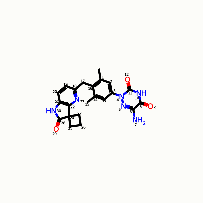 Cc1cc(-n2nc(N)c(=O)[nH]c2=O)cc(C)c1Cc1ccc2c(n1)C1(CCC1)C(=O)N2